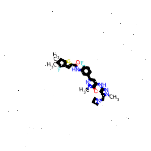 Cn1nc(Nc2cc(-c3ccc(F)c(NC(=O)c4cc5c(s4)CC(C)(C)[C@@H]5F)c3)nn(C)c2=O)cc1CN1CCC1